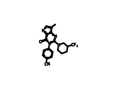 Cn1cnc2c(=O)n(-c3ccc(C#N)cc3)c(N3CCCC(C(F)(F)F)C3)nc21